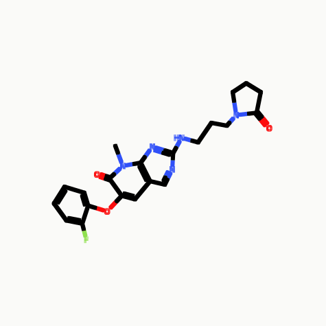 Cn1c(=O)c(Oc2ccccc2F)cc2cnc(NCCCN3CCCC3=O)nc21